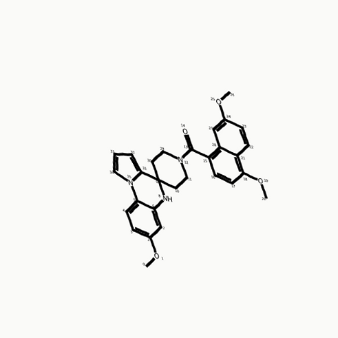 COc1ccc2c(c1)NC1(CCN(C(=O)c3ccc(OC)c4ccc(OC)cc34)CC1)c1cccn1-2